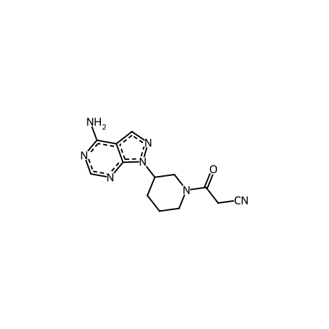 N#CCC(=O)N1CCCC(n2ncc3c(N)ncnc32)C1